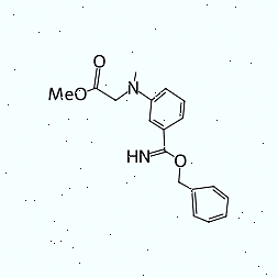 COC(=O)CN(C)c1cccc(C(=N)OCc2ccccc2)c1